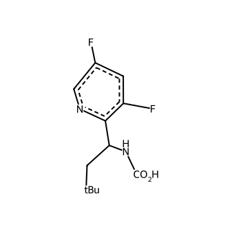 CC(C)(C)CC(NC(=O)O)c1ncc(F)cc1F